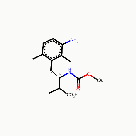 Cc1ccc(N)c(C)c1C[C@H](NC(=O)OC(C)(C)C)C(C)C(=O)O